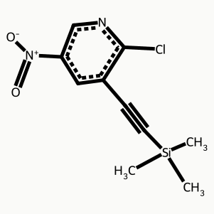 C[Si](C)(C)C#Cc1cc([N+](=O)[O-])cnc1Cl